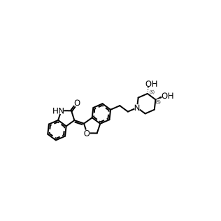 O=C1Nc2ccccc2C1=C1OCc2cc(CCN3CC[C@H](O)[C@@H](O)C3)ccc21